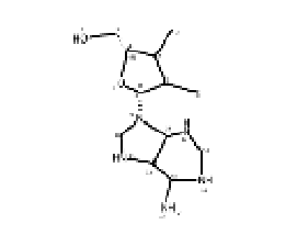 CC1C(C)[C@@H](CO)O[C@H]1N1CNC2C(N)NCNC21